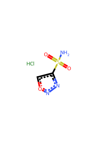 Cl.NS(=O)(=O)c1conn1